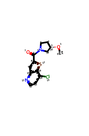 CCO[C@H]1CCN(C(=O)c2cc3nccc(Cl)c3s2)C1